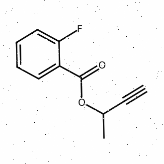 C#CC(C)OC(=O)c1ccccc1F